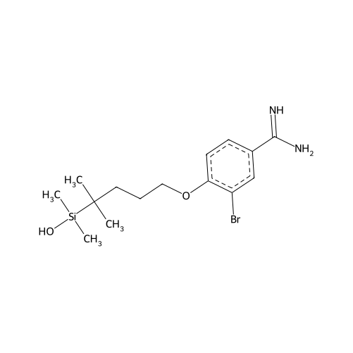 CC(C)(CCCOc1ccc(C(=N)N)cc1Br)[Si](C)(C)O